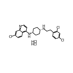 Cl.Cl.Clc1ccc(CCN[C@H]2CC[C@H](Nc3ccnc4cc(Cl)ccc34)CC2)c(Cl)c1